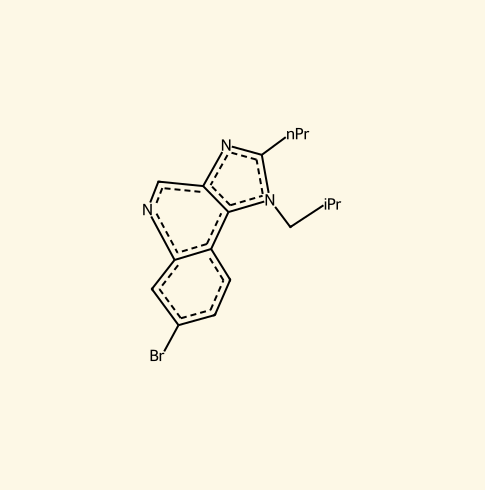 CCCc1nc2cnc3cc(Br)ccc3c2n1CC(C)C